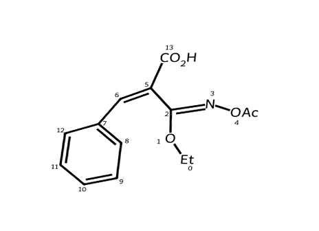 CCOC(=NOC(C)=O)C(=Cc1ccccc1)C(=O)O